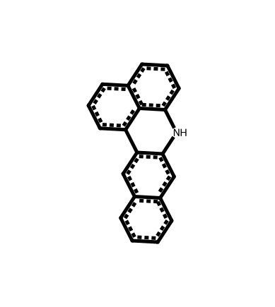 c1ccc2cc3c(cc2c1)Nc1cccc2cccc-3c12